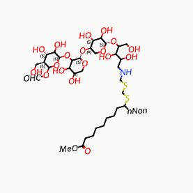 CCCCCCCCCC(CCCCCCCC(=O)OC)SCSCNCC(O)C(O)C(CO)O[C@@H]1OC[C@@H](O[C@@H]2OC[C@@H](O)C(O)C2O[C@H]2OC(OC=O)[C@@H](CO)[C@H](O)C2O)[C@@H](O)C1O